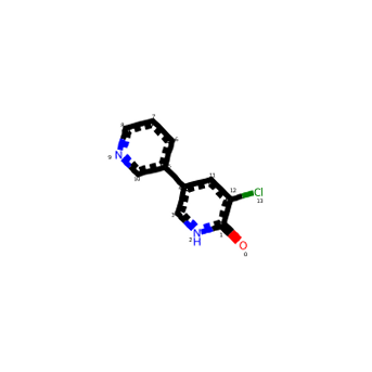 O=c1[nH]cc(-c2cccnc2)cc1Cl